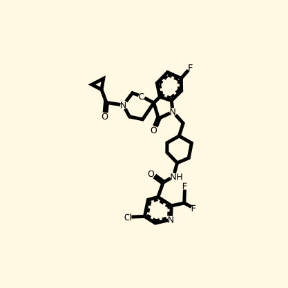 O=C(NC1CCC(CN2C(=O)C3(CCN(C(=O)C4CC4)CC3)c3ccc(F)cc32)CC1)c1cc(Cl)cnc1C(F)F